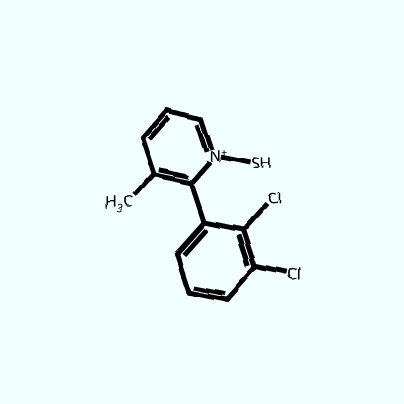 Cc1ccc[n+](S)c1-c1cccc(Cl)c1Cl